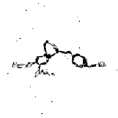 COc1cc2c(cc1OC)C(CCc1ccc(C(C)(C)C)cc1)=NCC2